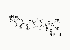 CCCCCCCCCOc1ccc(C(=O)Oc2ccc(C(=O)OC(C(=O)OCCCCC)C(F)(F)F)cc2)cc1